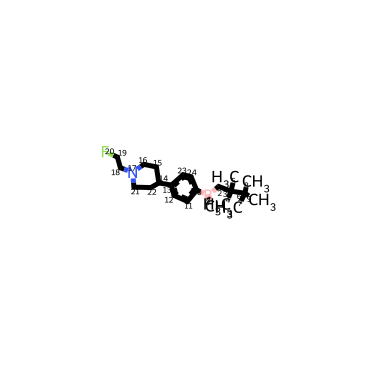 CB(CC(C)(C)C(C)(C)C)c1ccc(C2CCN(CCF)CC2)cc1